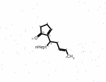 C/C=C/CC(CCCCCCC)C1=CCCC1=O